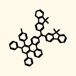 Cc1ccc(C2=c3c(c4ccccc4c4cc(N(c5ccc6c(c5)C(C)(C)C5=C6CCC=C5)c5ccc6c(c5)C(C)(C)c5ccccc5-6)ccc34)=C(c3ccccc3)CC2c2ccccc2)cc1